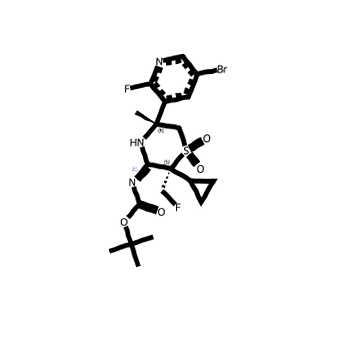 CC(C)(C)OC(=O)/N=C1/N[C@](C)(c2cc(Br)cnc2F)CS(=O)(=O)[C@@]1(CF)C1CC1